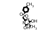 Cc1ccc(S(=O)(=O)CC2=NC(O)N(C)C(O)=N2)cc1